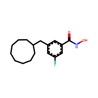 O=C(NO)c1cc(F)cc(CC2CCCCCCCC2)c1